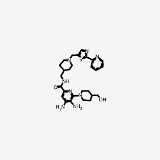 Nc1cc(C(=O)NCC2CCN(Cc3cnc(-c4ccccn4)s3)CC2)nc(N2CCC(CO)CC2)c1N